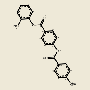 CCCCc1ccccc1OC(=O)c1ccc(OC(=O)c2ccc(OC)cc2)cc1